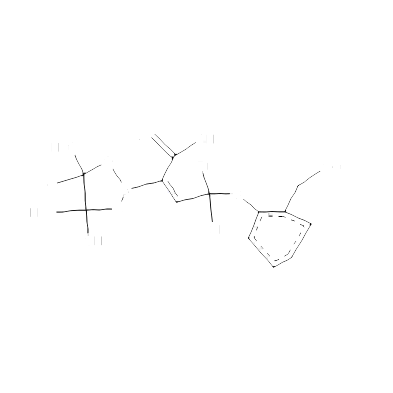 C=C(S)/C(=C\C(C)(CC)Oc1ccccc1CC(=O)OCC)B1OC(C)(C)C(C)(C)O1